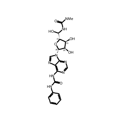 CNC(=O)NC(O)[C@H]1O[C@@H](n2cnc3c(NC(=O)Nc4ccccc4)ncnc32)[C@H](O)[C@@H]1O